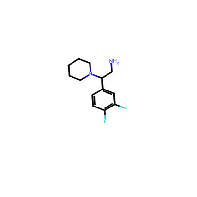 NCC(c1ccc(F)c(F)c1)N1CCCCC1